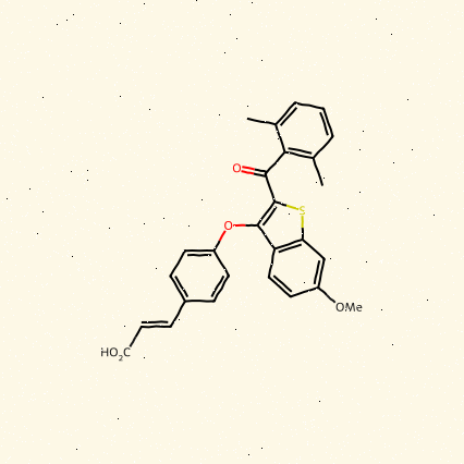 COc1ccc2c(Oc3ccc(/C=C/C(=O)O)cc3)c(C(=O)c3c(C)cccc3C)sc2c1